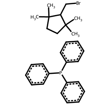 CC1(C)CCC(C)(C)C1CBr.c1ccc(P(c2ccccc2)c2ccccc2)cc1